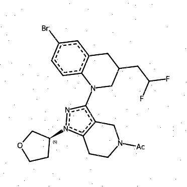 CC(=O)N1CCc2c(c(N3CC(CC(F)F)Cc4cc(Br)ccc43)nn2[C@H]2CCOC2)C1